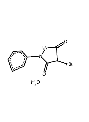 CCCCC1C(=O)NN(c2ccccc2)C1=O.O